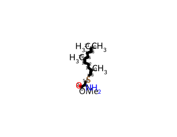 COC(=O)[C@H](N)CSCC=C(C)CCC=C(C)CCC=C(C)C